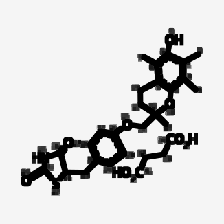 Cc1c(C)c2c(c(C)c1O)CCC(C)(COc1ccc(CC3SC(=O)NC3=O)cc1)O2.O=C(O)CCC(=O)O